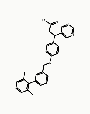 Cc1cccc(C)c1-c1cccc(COc2ccc(C(CS(=O)O)c3cncnc3)cc2)c1